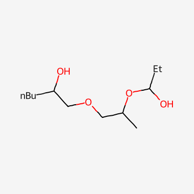 CCCCC(O)COCC(C)OC(O)CC